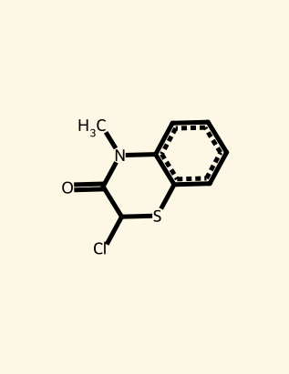 CN1C(=O)C(Cl)Sc2ccccc21